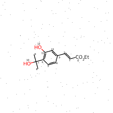 CCOC(=O)C=Cc1ccc(C(C)(C)O)c(O)c1